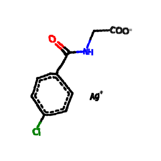 O=C([O-])CNC(=O)c1ccc(Cl)cc1.[Ag+]